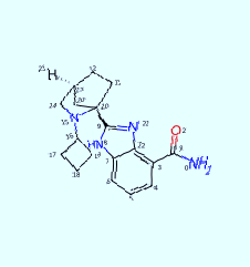 NC(=O)c1cccc2[nH]c([C@@]34CC[C@H](CN3C3CCC3)C4)nc12